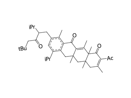 CC(=O)C1=C(C)CC2(C)CC3(C)Cc4c(C(C)C)cc(CC(C(=O)CC(C)(C)C)C(C)C)c(C)c4C(=O)C3=C(C)C2(C)C1=O